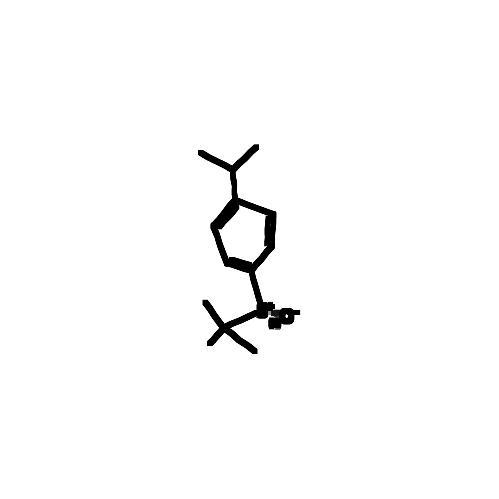 CC(C)c1ccc([S@+]([O-])C(C)(C)C)cc1